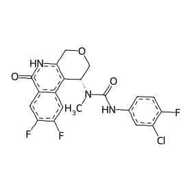 CN(C(=O)Nc1ccc(F)c(Cl)c1)[C@H]1COCc2[nH]c(=O)c3cc(F)c(F)cc3c21